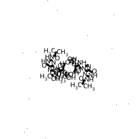 CC(C)C(=O)Nc1nc2c(ncn2[C@@H]2O[C@@H]3COP(=O)(O)O[C@H]4[C@@H](O[Si](C)(C)C(C)(C)C)[C@H](n5cnc6c(=O)[nH]c(NC(=O)C(C)C)nc65)O[C@@H]4COP(=O)(O)O[C@H]3[C@H]2N)c(=O)[nH]1